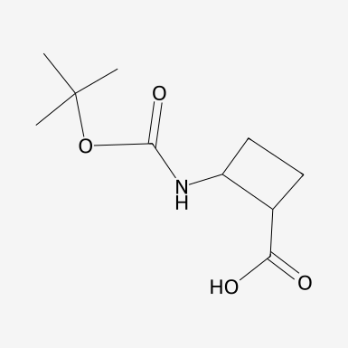 CC(C)(C)OC(=O)NC1CCC1C(=O)O